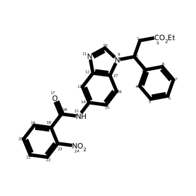 CCOC(=O)CC(c1ccccc1)n1cnc2cc(NC(=O)c3ccccc3[N+](=O)[O-])ccc21